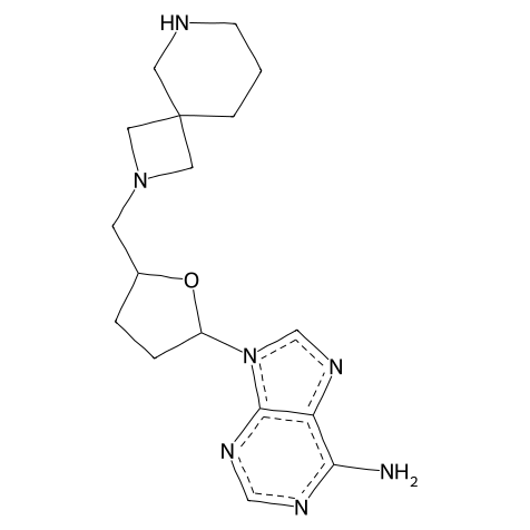 Nc1ncnc2c1ncn2C1CCC(CN2CC3(CCCNC3)C2)O1